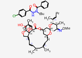 CC(C)(C)N(NC(=O)c1ccc(Cl)cc1)C(=O)c1ccccc1.CO/N=C1/C[C@]2(C[C@@H]3C[C@@H](C/C=C(\C)C[C@@H](C)/C=C/C=C4\CO[C@@H]5[C@H](O)C(C)=C[C@@H](C(=O)O3)[C@]45O)O2)O[C@H](/C(C)=C/C(C)C)[C@H]1C